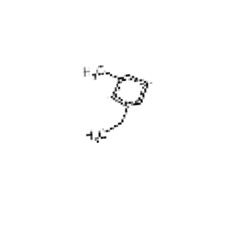 CCc1[c]c(C)c[c]c1